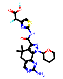 CC1(C)Cc2cnc(N)nc2-c2c1c(C(=O)Nc1nc(C(F)C(=O)OF)cs1)nn2C1CCCCO1